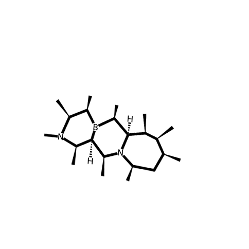 C[C@@H]1[C@H](C)[C@@H]2[C@H](C)B3[C@H]([C@@H](C)N(C)[C@@H](C)[C@H]3C)[C@H](C)N2[C@H](C)C[C@@H]1C